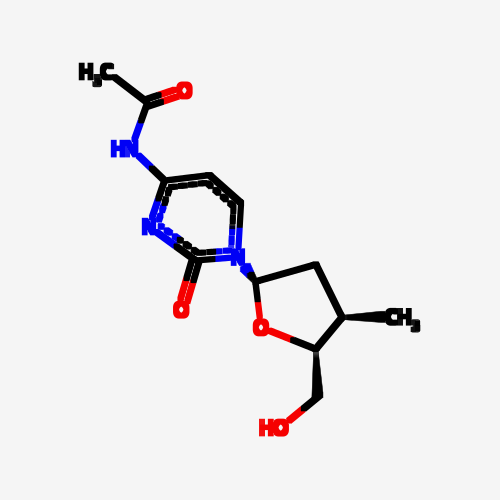 CC(=O)Nc1ccn([C@H]2C[C@@H](C)[C@@H](CO)O2)c(=O)n1